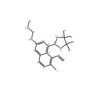 C=Cc1c(F)ccc2cc(OCOC)cc(B3OC(C)(C)C(C)(C)O3)c12